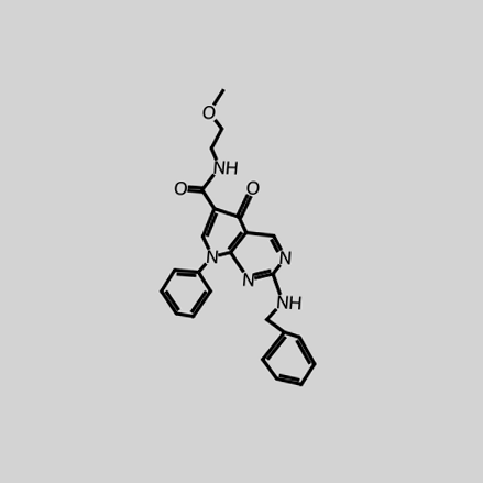 COCCNC(=O)c1cn(-c2ccccc2)c2nc(NCc3ccccc3)ncc2c1=O